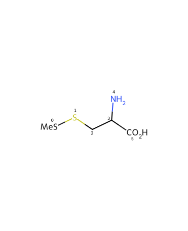 CSSCC(N)C(=O)O